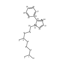 CC(C)CCCC(C)CCCn1ccnc1-c1ccccc1